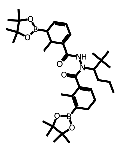 CCCC(N(NC(=O)C1=CC=CC(B2OC(C)(C)C(C)(C)O2)C1C)C(=O)C1=CCCC(B2OC(C)(C)C(C)(C)O2)=C1C)C(C)(C)C